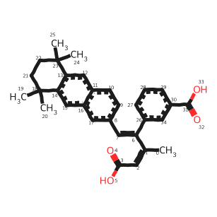 CC(=C/C(=O)O)/C(=C/c1ccc2cc3c(cc2c1)C(C)(C)CCC3(C)C)c1cccc(C(=O)O)c1